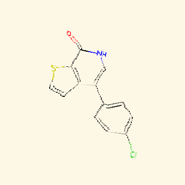 O=c1[nH]cc(-c2ccc(Cl)cc2)c2ccsc12